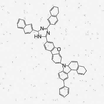 C1=CC2=C(C=CC3C2c2cc(-c4ccccc4)ccc2N3c2ccc3c(c2)oc2cc(C4=NC(c5ccc6c(c5)C=CCC6)=NC(c5ccc6ccccc6c5)N4)ccc23)CC1